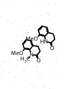 COc1cccc2c1N(C)C(=O)CC2.COc1cccc2c1NC(=O)CC2